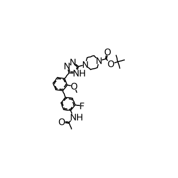 COc1c(-c2ccc(NC(C)=O)c(F)c2)cccc1-c1nnc(N2CCN(C(=O)OC(C)(C)C)CC2)[nH]1